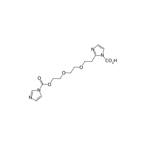 O=C(OCCOCCOCCc1nccn1C(=O)O)n1ccnc1